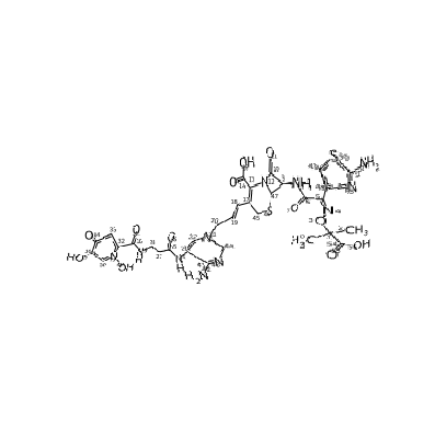 CC(C)(O/N=C(\C(=O)N[C@@H]1C(=O)N2C(C(=O)O)=C(/C=C/CN3C=C(NC(=O)CCNC(=O)c4cc(=O)c(O)cn4O)C(N)=NC3)CSC12)c1csc(N)n1)C(=O)O